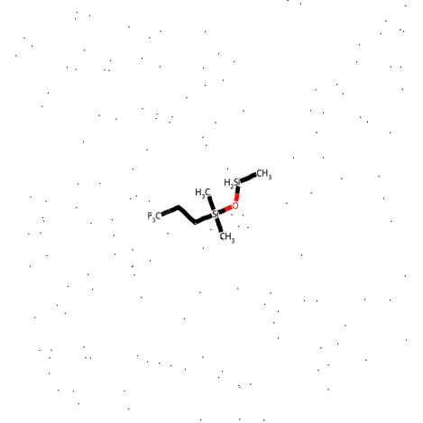 C[SiH2]O[Si](C)(C)CCC(F)(F)F